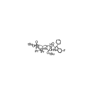 CC(C)[Si](OC(CNC(=O)OC(C)(C)C)C[C@@H](CNC(=O)c1[nH]c2ccc(F)cc2c1-c1ccccc1)NC(=O)OC(C)(C)C)(C(C)C)C(C)C